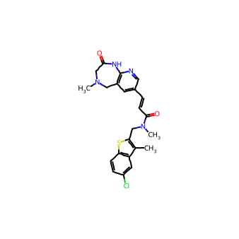 Cc1c(CN(C)C(=O)C=Cc2cnc3c(c2)CN(C)CC(=O)N3)sc2ccc(Cl)cc12